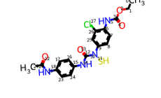 CCOC(=O)Nc1ccc(N(S)C(=O)Nc2ccc(NC(C)=O)cc2)cc1Cl